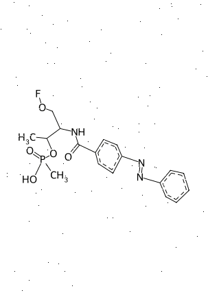 CC(OP(C)(=O)O)C(COF)NC(=O)c1ccc(/N=N/c2ccccc2)cc1